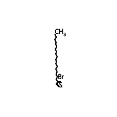 CCCCCCCCCCCCCCCCCCC(Br)Cc1ccsc1